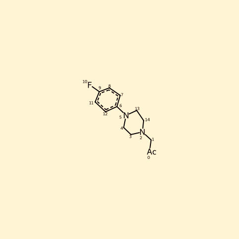 [CH2]C(=O)CN1CCN(c2ccc(F)cc2)CC1